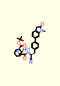 CN1C(=O)Cc2ccc(-c3ccc(C[C@@H](C#N)NC(=O)[C@@H]4C5CCC(CC5)N4C(=O)OC(C)(C)C)cc3)cc21